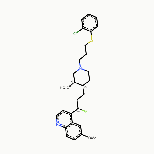 COc1ccc2nccc([C@H](F)CC[C@@H]3CCN(CCCSc4ccccc4Cl)C[C@@H]3C(=O)O)c2c1